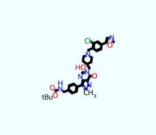 Cn1nc2c(=O)n(CC3(O)CCN(Cc4ccc(-c5cnco5)cc4Cl)CC3)cnc2c1-c1ccc(CNC(=O)OC(C)(C)C)cc1